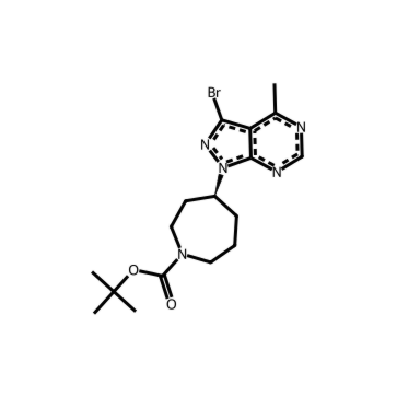 Cc1ncnc2c1c(Br)nn2[C@H]1CCCN(C(=O)OC(C)(C)C)CC1